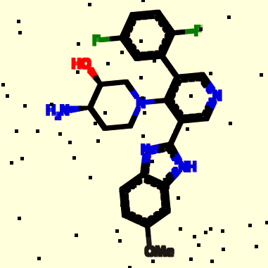 COc1ccc2nc(-c3cncc(-c4cc(F)ccc4F)c3N3CC[C@@H](N)[C@@H](O)C3)[nH]c2c1